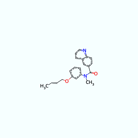 CC=CCOc1cccc(N(C)C(=O)c2ccc3ncccc3c2)c1